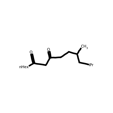 CCCCCCC(=O)CC(=O)CCC(C)CC(C)C